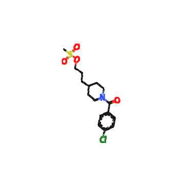 CS(=O)(=O)OCCCC1CCN(C(=O)c2ccc(Cl)cc2)CC1